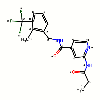 CCC(=O)Nc1cc(C(=O)NCc2cccc(C(F)(F)F)c2C)ccn1